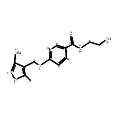 CCCCc1noc(C)c1COc1ccc(C(=O)NCCO)cn1